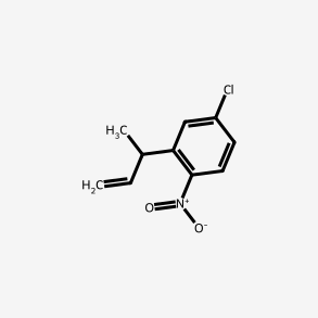 C=C[C](C)c1cc(Cl)ccc1[N+](=O)[O-]